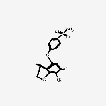 CC1COc2c(C#N)c(F)cc(Oc3ccc(S(N)(=O)=O)cc3)c21